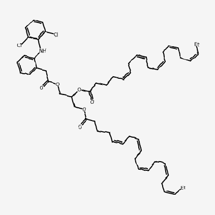 CC/C=C\C/C=C\C/C=C\C/C=C\C/C=C\CCCC(=O)OCC(COC(=O)Cc1ccccc1Nc1c(Cl)cccc1Cl)OC(=O)CCC/C=C\C/C=C\C/C=C\C/C=C\C/C=C\CC